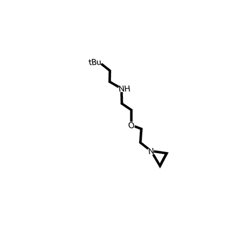 CC(C)(C)CCNCCOCCN1CC1